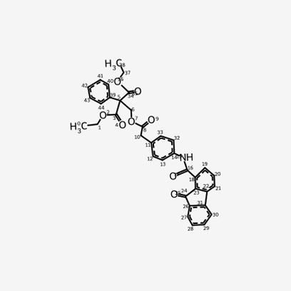 CCOC(=O)C(COC(=O)Cc1ccc(NC(=O)c2cccc3c2C(=O)c2ccccc2-3)cc1)(C(=O)OCC)c1ccccc1